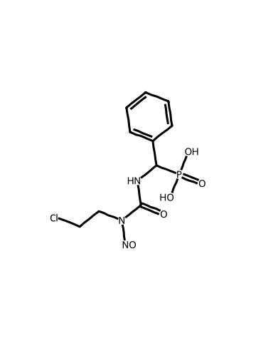 O=NN(CCCl)C(=O)NC(c1ccccc1)P(=O)(O)O